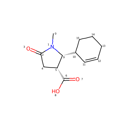 CN1C(=O)C[C@@H](C(=O)O)[C@H]1C1C=CCCC1